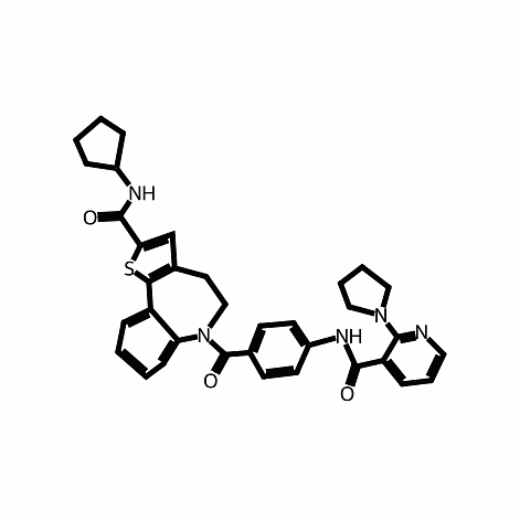 O=C(NC1CCCC1)c1cc2c(s1)-c1ccccc1N(C(=O)c1ccc(NC(=O)c3cccnc3N3CCCC3)cc1)CC2